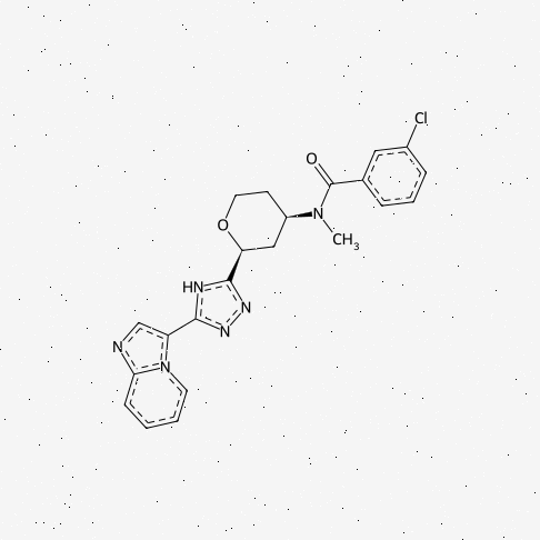 CN(C(=O)c1cccc(Cl)c1)[C@@H]1CCO[C@H](c2nnc(-c3cnc4ccccn34)[nH]2)C1